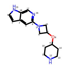 c1cc2cc(N3CC(OC4CCNCC4)C3)ncc2[nH]1